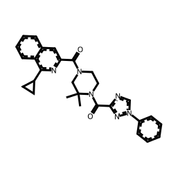 CC1(C)CN(C(=O)c2cc3ccccc3c(C3CC3)n2)CCN1C(=O)c1ncn(-c2ccccc2)n1